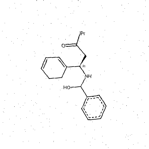 CC(C)C(=O)C[C@@H](NC(O)c1ccccc1)C1=CC=CCC1